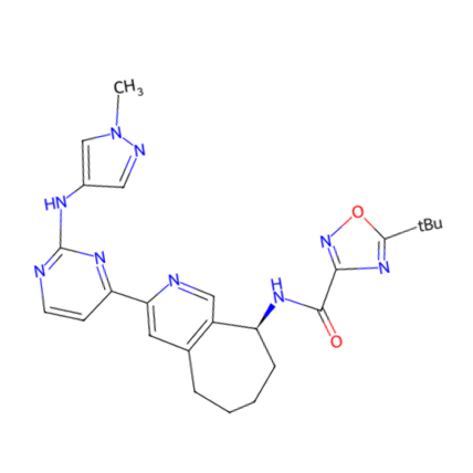 Cn1cc(Nc2nccc(-c3cc4c(cn3)[C@@H](NC(=O)c3noc(C(C)(C)C)n3)CCCC4)n2)cn1